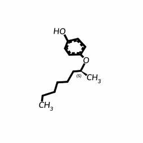 CCCCCC[C@H](C)Oc1ccc(O)cc1